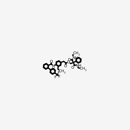 CCNC(=O)C(COC(=O)Cc1ccc(NC(=O)c2ccccc2-c2ccc(C(F)(F)F)cc2)c(CC)c1)(C(=O)NCC)c1ccccc1